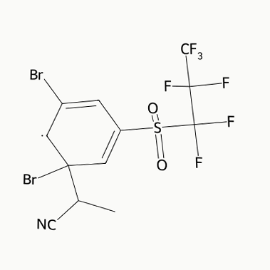 CC(C#N)C1(Br)[CH]C(Br)=CC(S(=O)(=O)C(F)(F)C(F)(F)C(F)(F)F)=C1